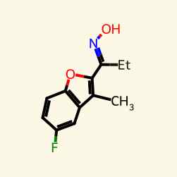 CCC(=NO)c1oc2ccc(F)cc2c1C